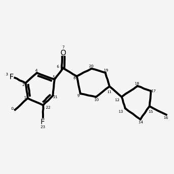 Cc1c(F)cc(C(=O)C2CCC(C3CCC(C)CC3)CC2)cc1F